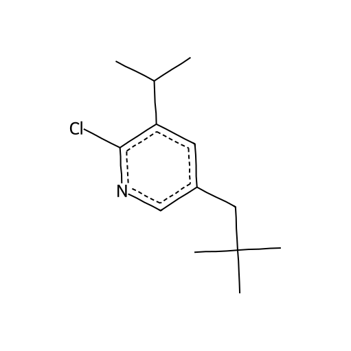 CC(C)c1cc(CC(C)(C)C)cnc1Cl